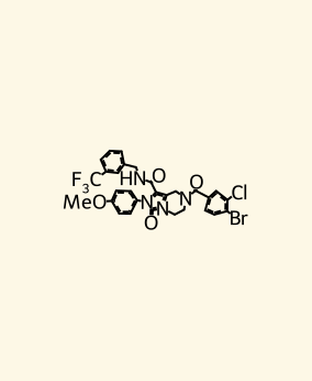 COc1ccc(-n2c(C(=O)NCc3cccc(C(F)(F)F)c3)c3n(c2=O)CCN(C(=O)c2ccc(Br)c(Cl)c2)C3)cc1